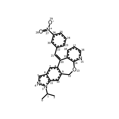 CC(C)n1ncc2cc3c(cc21)COc1ncccc1C3=Cc1cccc([N+](=O)[O-])c1